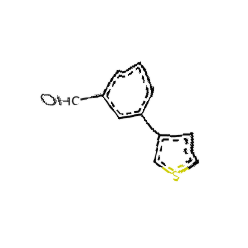 O=Cc1cccc(-c2ccsc2)c1